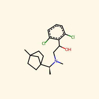 C[C@H](N(C)CC(O)c1c(Cl)cccc1Cl)C12CCC(C)(CC1)C2